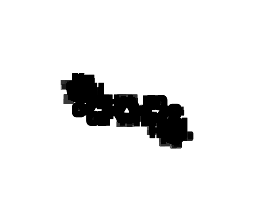 O=C(NC(C(=O)O)[C@H]1CN2CCC1CC2)c1ccc(C(=O)N[C@H](C(=O)O)[C@H]2CN3CCC2CC3)cc1